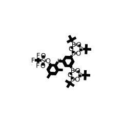 Cc1cc(C)c([I+]c2cc(B3OB(C(C)(C)C)OB(C(C)(C)C)O3)cc(B3OB(C(C)(C)C)OB(C(C)(C)C)O3)c2)c(OS(=O)(=O)C(F)(F)F)c1